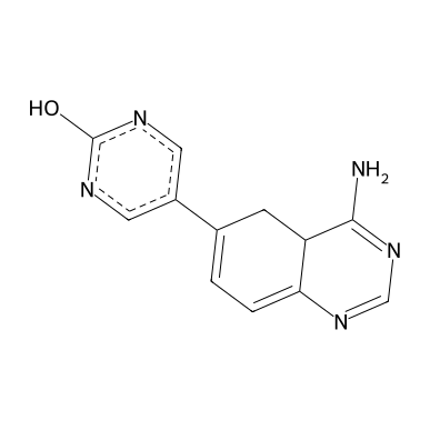 NC1=NC=NC2=CC=C(c3cnc(O)nc3)CC21